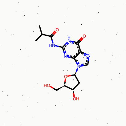 CC(C)C(=O)Nc1nc2c(ncn2[C@H]2C[C@@H](O)[C@@H](CO)O2)c(=O)[nH]1